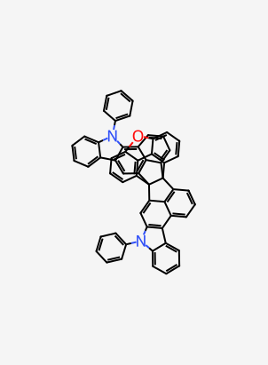 c1ccc(-n2c3ccccc3c3c4cccc5c4c(cc32)C23c4cc6c7ccccc7n(-c7ccccc7)c6c6cccc(c46)C52c2cccc4oc5cccc3c5c24)cc1